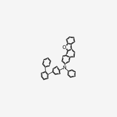 c1ccc(-c2ccccc2-c2ccc(N(c3ccccc3)c3ccc4c(ccc5c6ccccc6oc45)c3)cc2)cc1